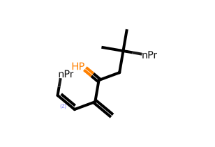 C=C(/C=C\CCC)C(=P)CC(C)(C)CCC